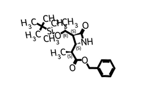 C[C@H](C(=O)OCc1ccccc1)[C@H]1NC(=O)[C@@H]1[C@@H](C)O[Si](C)(C)C(C)(C)C